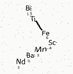 [Ba].[Bi].[Mn].[Nd].[Sc].[Ti][Fe]